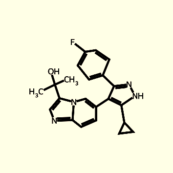 CC(C)(O)c1cnc2ccc(-c3c(-c4ccc(F)cc4)n[nH]c3C3CC3)cn12